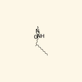 C=CCN1CCC(NC(=O)CCCCC(C)CCCCCCCCCC)CC1